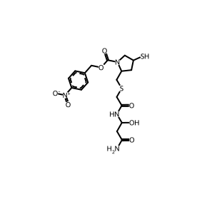 NC(=O)CC(O)NC(=O)CSCC1CC(S)CN1C(=O)OCc1ccc([N+](=O)[O-])cc1